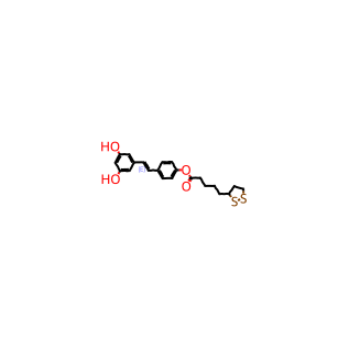 O=C(CCCCC1CCSS1)Oc1ccc(/C=C/c2cc(O)cc(O)c2)cc1